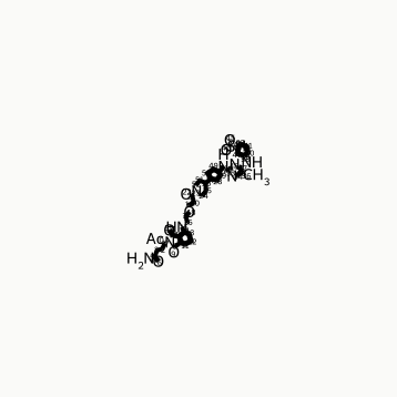 CC(=O)C(CCC(N)=O)N1C(=O)c2cccc(NCCOCCC(=O)N3CCC(c4ccc(Nc5ncc(C)c(Nc6cccc([SH](=O)=O)c6)n5)cc4)CC3)c2C1=O